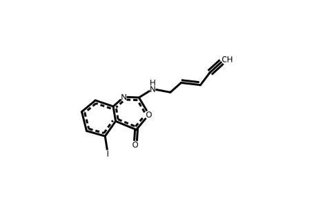 C#CC=CCNc1nc2cccc(I)c2c(=O)o1